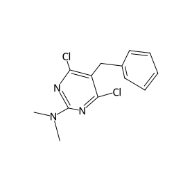 CN(C)c1nc(Cl)c(Cc2ccccc2)c(Cl)n1